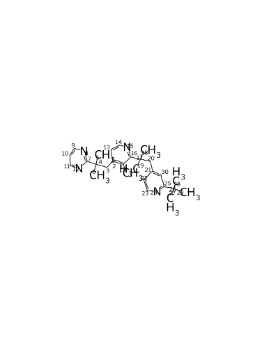 Cc1c(CC(C)(C)c2ncccn2)ccnc1C(C)(C)Cc1ccnc(C(C)(C)C)c1